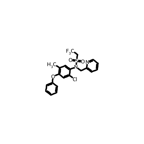 Cc1cc(N(Cc2ccccn2)S(=O)(=O)CC(F)(F)F)c(Cl)cc1Oc1ccccc1